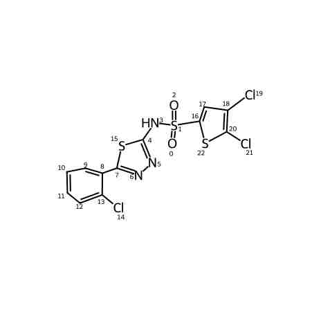 O=S(=O)(Nc1nnc(-c2ccccc2Cl)s1)c1cc(Cl)c(Cl)s1